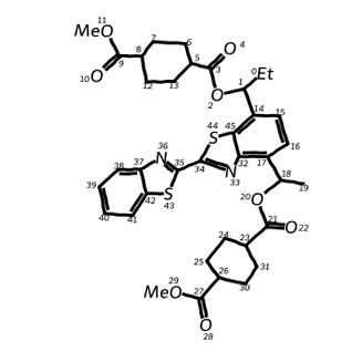 CCC(OC(=O)C1CCC(C(=O)OC)CC1)c1ccc(C(C)OC(=O)C2CCC(C(=O)OC)CC2)c2nc(-c3nc4ccccc4s3)sc12